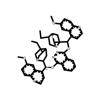 CCC1CN2CCC1CC2C(Oc1nnc(O[C@@H](c2ccnc3ccc(OC)cc23)C2CC3CCN2CC3CC)c2ccccc12)c1ccnc2ccc(OC)cc12